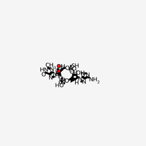 Cc1nc2c(ncn2[C@@H]2O[C@@H]3CO[P@@](=O)(CS)O[C@H]4[C@@H](O)[C@H](n5cnc6c(N)ncnc65)[C@H]5CC54CO[P@@](=O)(CO)O[C@@H]2[C@@H]3CO)c(=O)[nH]1